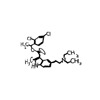 CCN(CC)CCc1ccc2[nH]c(C)c(C(=O)OC(C)c3ccc(Cl)cc3Cl)c2c1